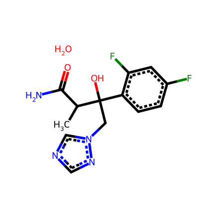 CC(C(N)=O)C(O)(Cn1cncn1)c1ccc(F)cc1F.O